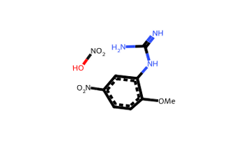 COc1ccc([N+](=O)[O-])cc1NC(=N)N.O=[N+]([O-])O